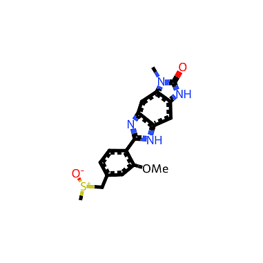 COc1cc(C[S+](C)[O-])ccc1-c1nc2cc3c(cc2[nH]1)[nH]c(=O)n3C